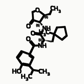 CC[C@@H]1OCC(=O)[C@H]1NC(=O)[C@H](CC1(C)CCCC1)NC(=O)c1ccc(O)c(C(C)C)c1